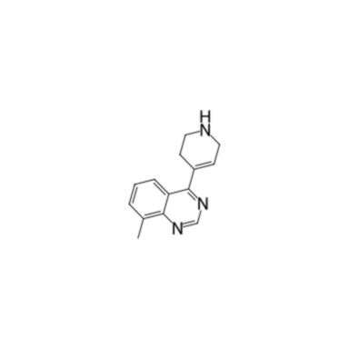 Cc1cccc2c(C3=CCNCC3)ncnc12